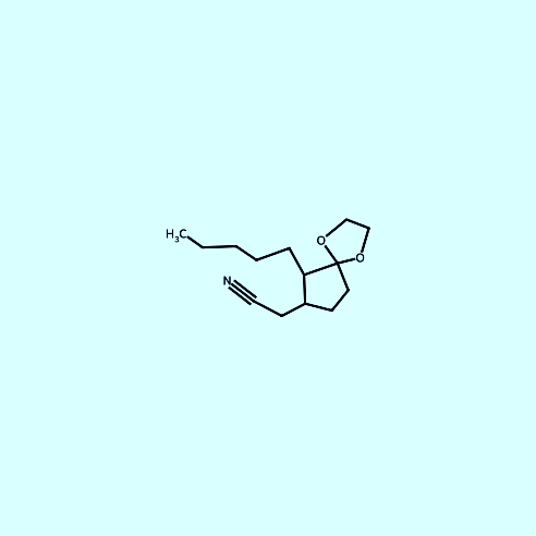 CCCCCC1C(CC#N)CCC12OCCO2